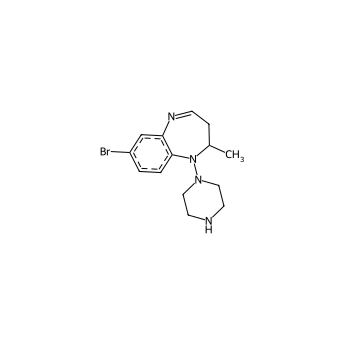 CC1CC=Nc2cc(Br)ccc2N1N1CCNCC1